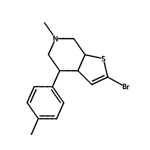 Cc1ccc(C2CN(C)CC3SC(Br)=CC32)cc1